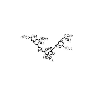 CCCCCCCCC(O)CN(CCCCNC(=O)CC(C)(O)CC(=O)NCCCCN(CC(O)CCCCCCCC)CC(O)CCCCCCCC)CC(O)CCCCCCCC